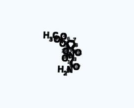 COC(=O)Oc1cccc2c(=O)n(CCC(N)=O)c(=O)oc12